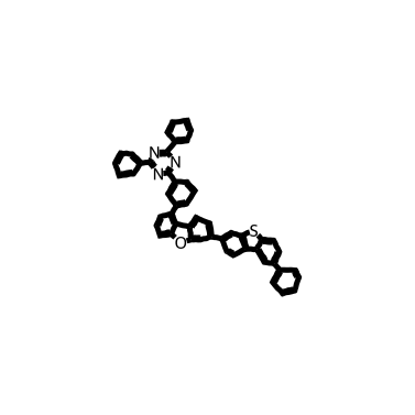 c1ccc(-c2ccc3sc4cc(-c5ccc6c(c5)oc5cccc(-c7cccc(-c8nc(-c9ccccc9)nc(-c9ccccc9)n8)c7)c56)ccc4c3c2)cc1